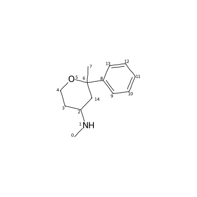 CNC1CCOC(C)(c2ccccc2)C1